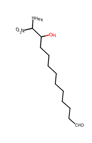 CCCCCCC(C(O)CCCCCCCCC[C]=O)[N+](=O)[O-]